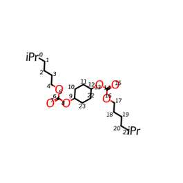 CC(C)CCCCOC(=O)OC1CCC(OC(=O)OCCCCC(C)C)CC1